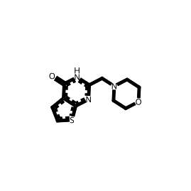 O=c1[nH]c(CN2CCOCC2)nc2sccc12